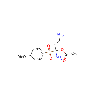 COc1ccc(S(=O)(=O)C(N)(CCN)OC(=O)C(F)(F)F)cc1